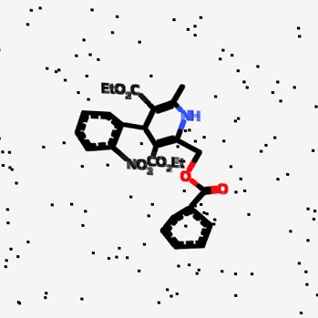 CCOC(=O)C1=C(C)NC(COC(=O)c2ccccc2)=C(C(=O)OCC)C1c1ccccc1[N+](=O)[O-]